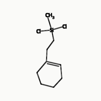 C[Si](Cl)(Cl)CCC1=CCCCC1